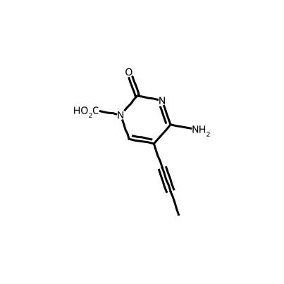 CC#Cc1cn(C(=O)O)c(=O)nc1N